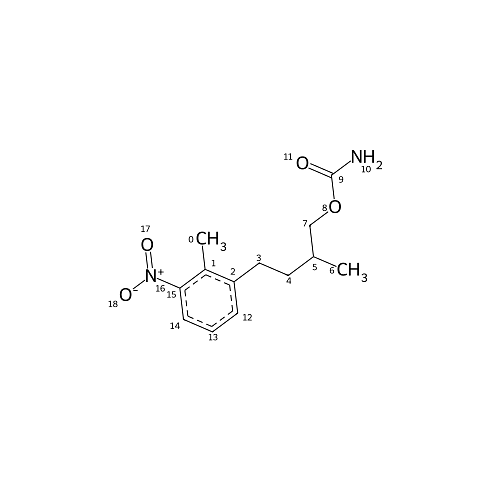 Cc1c(CCC(C)COC(N)=O)cccc1[N+](=O)[O-]